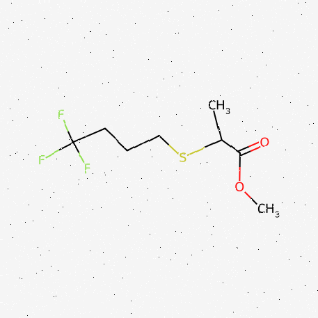 COC(=O)C(C)SCCCC(F)(F)F